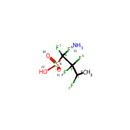 CC(F)C(F)(F)C(F)(F)S(=O)(=O)O.N